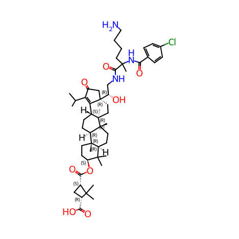 CC(C)C1=C2[C@H]3CC[C@@H]4[C@@]5(C)CC[C@H](OC(=O)[C@H]6C[C@@H](C(=O)O)C6(C)C)C(C)(C)[C@@H]5CC[C@@]4(C)[C@]3(C)CC[C@@]2([C@@H](O)CNC(=O)C(C)(CCCCN)NC(=O)c2ccc(Cl)cc2)CC1=O